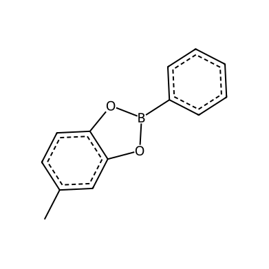 Cc1ccc2c(c1)OB(c1ccccc1)O2